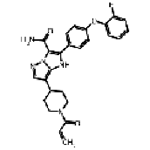 C=CC(=O)N1CCC(c2cnn3c(C(N)=O)c(-c4ccc(Oc5ccccc5F)cc4)[nH]c23)CC1